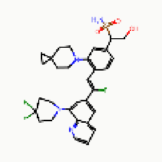 NS(=O)(=O)C(CO)c1ccc(/C=C(\F)c2cc(N3CCC(F)(F)CC3)c3ncccc3c2)c(N2CCC3(CC2)CC3)c1